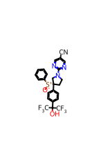 N#Cc1cnc(N2CCC(c3ccc(C(O)(C(F)(F)F)C(F)(F)F)cc3)([S+]([O-])c3ccccc3)C2)nc1